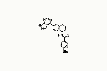 CC(C)(C)c1ccc(C(=O)NC2CCCc3cc(-c4ncnc5[nH]ncc45)ccc32)cn1